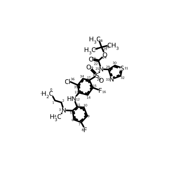 [CH2]CCN(C)c1cc(F)ccc1Nc1cc(F)c(S(=O)(=O)N(C(=O)OC(C)(C)C)c2cscn2)cc1Cl